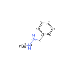 CCCCNNCc1ccccc1